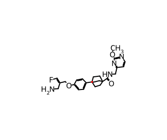 COc1nccc(CNC(=O)C23CCC(c4ccc(OC/C(=C/F)CN)cc4)(CC2)CC3)n1